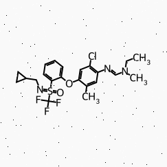 CCN(C)C=Nc1cc(C)c(Oc2ccccc2S(=O)(=NCC2CC2)C(F)(F)F)cc1Cl